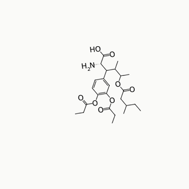 CCC(=O)Oc1ccc(C(C(C)C(C)OC(=O)CC(C)CC)[C@H](N)C(=O)O)cc1OC(=O)CC